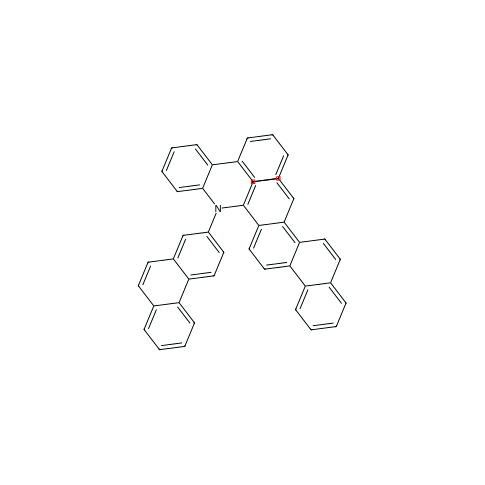 c1ccc(-c2ccccc2N(c2ccc3c(ccc4ccccc43)c2)c2cccc3c2ccc2c4ccccc4ccc32)cc1